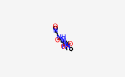 CCCN1C(=O)c2cc(C(=O)NCCCN3CCOCC3)nn2CC1(C)C(=O)NC1CCCC1